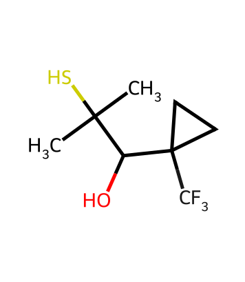 CC(C)(S)C(O)C1(C(F)(F)F)CC1